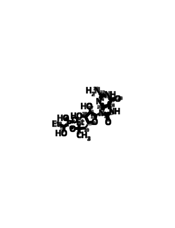 CCC(O)P(=O)(O)OC(C)(CC)C[C@H]1O[C@@H](n2c(=O)[nH]c3c(=O)[nH]c(N)nc32)[C@H](O)[C@@H]1O